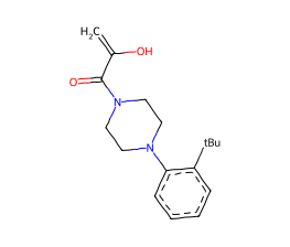 C=C(O)C(=O)N1CCN(c2ccccc2C(C)(C)C)CC1